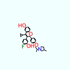 CC1CCN(C(C)COc2ccc(C3Oc4ccc(O)cc4C(C4CC4)=C3c3ccc(F)c(O)c3)cc2)C1